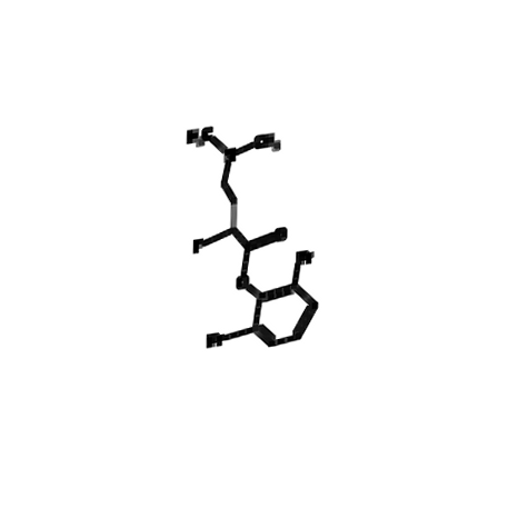 CC(C)c1cccc(C(C)C)c1OC(=O)C(F)CCN(C)C